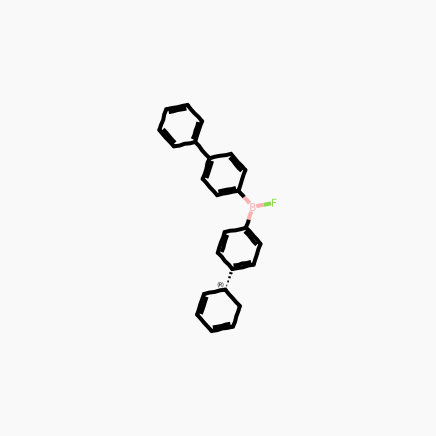 FB(c1ccc(-c2ccccc2)cc1)c1ccc([C@H]2C=CC=CC2)cc1